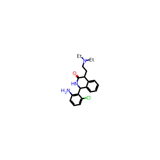 CCN(CC)CCC1C(=O)NC(c2c(N)cccc2Cl)c2ccccc21